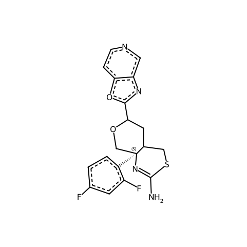 NC1=N[C@@]2(c3ccc(F)cc3F)COC(c3nc4cnccc4o3)CC2CS1